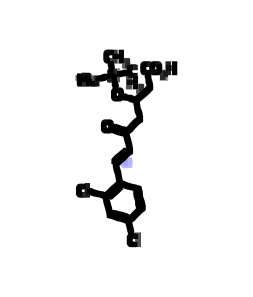 CC(C)(C)[Si](C)(C)OC(CC(=O)O)CC(=O)/C=C/c1ccc(Cl)cc1Cl